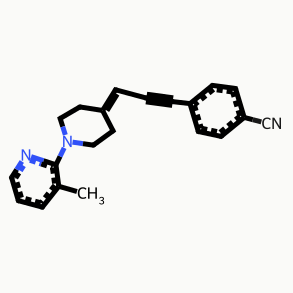 Cc1cccnc1N1CCC(=CC#Cc2ccc(C#N)cc2)CC1